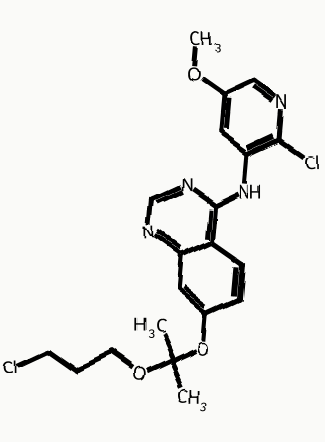 COc1cnc(Cl)c(Nc2ncnc3cc(OC(C)(C)OCCCCl)ccc23)c1